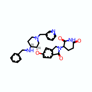 O=C1CCC(N2Cc3cc(O[C@H]4CN(Cc5cccnc5)CC[C@@H]4NCc4ccccc4)ccc3C2=O)C(=O)N1